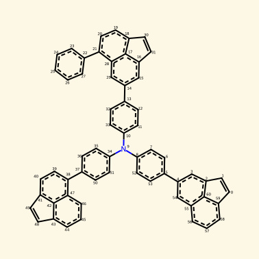 C1=Cc2cc(-c3ccc(N(c4ccc(-c5cc6c7c(ccc(-c8ccccc8)c7c5)C=C6)cc4)c4ccc(-c5ccc6c7c(cccc57)C=C6)cc4)cc3)cc3cccc1c23